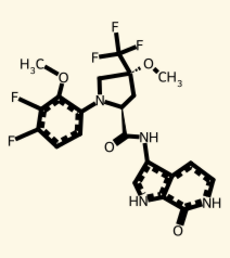 COc1c(N2C[C@@](OC)(C(F)(F)F)C[C@H]2C(=O)Nc2c[nH]c3c(=O)[nH]ccc23)ccc(F)c1F